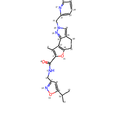 Cc1c(C(=O)NCc2cc(C(C)C)on2)oc2c1-c1nn(Cc3ccccn3)cc1CC2